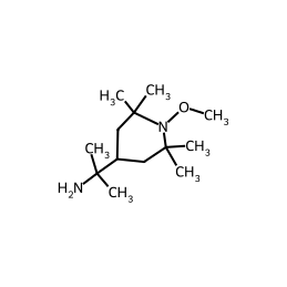 CON1C(C)(C)CC(C(C)(C)N)CC1(C)C